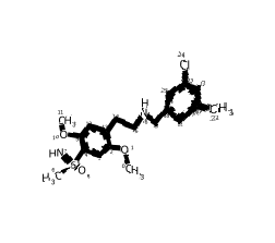 COc1cc([S@@](C)(=N)=O)c(OC)cc1CCNCc1cc(C)cc(Cl)c1